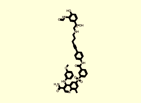 COc1cccc(Nc2c(C(N)=O)cnc3c(C)cc(S(=O)(=O)c4cccc(C(=O)Nc5ccc(C#CCCCNC[C@H](O)c6ccc(O)c(NC=O)c6)cc5)c4)cc23)c1